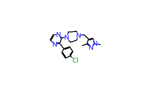 Cc1nn(C)cc1CN1CCN(c2nccnc2-c2ccc(Cl)cc2)CC1